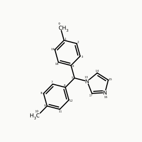 Cc1ccc(C(c2ccc(C)cc2)n2ccnc2)cc1